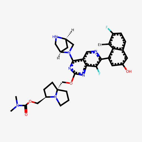 CCc1c(F)ccc2cc(O)cc(-c3ncc4c(N5C[C@H]6C[C@@H]5CN6)nc(OC[C@]56CCCN5[C@@H](COC(=O)N(C)C)CC6)nc4c3F)c12